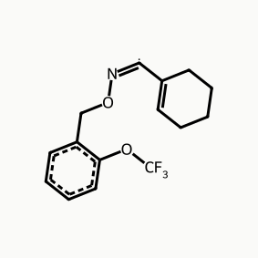 FC(F)(F)Oc1ccccc1CO/N=[C]\C1=CCCCC1